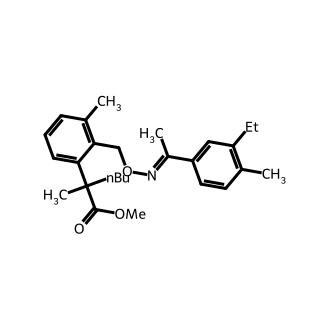 CCCCC(C)(C(=O)OC)c1cccc(C)c1CO/N=C(\C)c1ccc(C)c(CC)c1